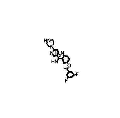 C[C@@H](Oc1ccc(N)c(C(=N)c2ccc(N3CCNCC3)nc2)c1)c1cc(F)cc(F)c1